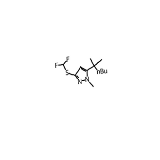 CCCCC(C)(C)c1cc(SC(F)F)nn1C